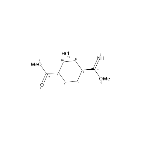 COC(=N)[C@H]1CC[C@H](C(=O)OC)CC1.Cl